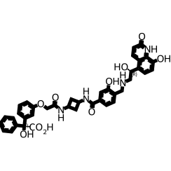 O=C(COc1cccc([C@](O)(C(=O)O)c2ccccc2)c1)NC1CC(NC(=O)c2ccc(CNC[C@H](O)c3ccc(O)c4[nH]c(=O)ccc34)c(O)c2)C1